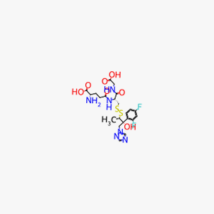 C[C@@H](SSC[C@H](NC(=O)CC[C@H](N)C(=O)O)C(=O)NCC(=O)O)[C@](O)(Cn1cncn1)c1ccc(F)cc1F